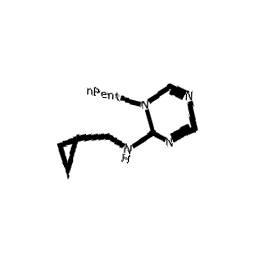 CCCCCN1C=NC=NC1NCC1CC1